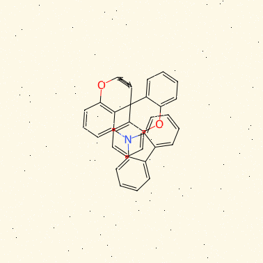 c1ccc2c(c1)Oc1ccccc1C21c2ccccc2Oc2cccc(-n3c4ccccc4c4ccccc43)c21